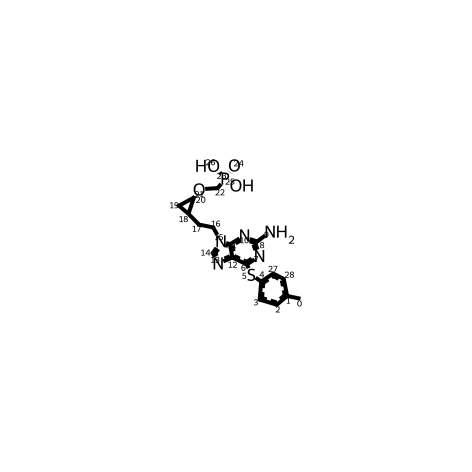 Cc1ccc(Sc2nc(N)nc3c2ncn3CCC2CC2OCP(=O)(O)O)cc1